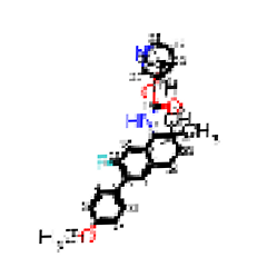 COc1ccc(-c2cc3c(cc2F)[C@H](NC(=O)O[C@H]2CN4CCC2CC4)C(C)(C)CC3)cc1